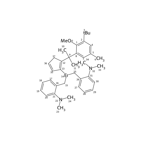 COc1c(C(C)(C)C)cc(C)cc1C(C)(C)C1=[C]([Er]([CH2]c2ccccc2N(C)C)[CH2]c2ccccc2N(C)C)C=CC1